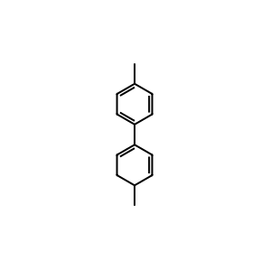 Cc1ccc(C2=CCC(C)C=C2)cc1